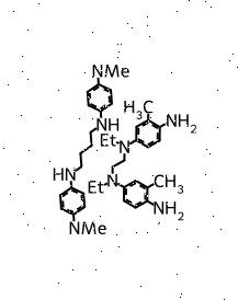 CCN(CCN(CC)c1ccc(N)c(C)c1)c1ccc(N)c(C)c1.CNc1ccc(NCCCCNc2ccc(NC)cc2)cc1